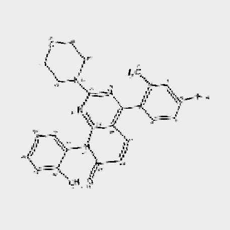 Cc1cc(F)ccc1-c1nc(N2CCOCC2)nc2c1ccc(=O)n2-c1ccccc1C